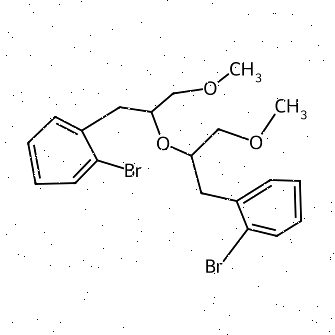 COCC(Cc1ccccc1Br)OC(COC)Cc1ccccc1Br